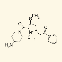 COC1=C(C(=O)N2CCC(N)CC2)N(C)C(CC(=O)c2ccccc2)C1